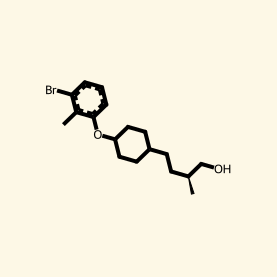 Cc1c(Br)cccc1OC1CCC(CC[C@H](C)CO)CC1